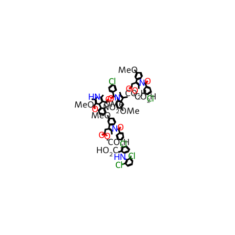 COC(=O)C1=C(C)NC(C)=C(C(=O)OC)C1c1ccccc1[N+](=O)[O-].COc1ccc2c(c1)c(CC(=O)O)c(C)n2C(=O)c1ccc(Cl)cc1.COc1ccc2c(c1)c(CC(=O)OCC(=O)O)c(C)n2C(=O)c1ccc(Cl)cc1.COc1ccc2c(c1)c(CC(=O)OCC(=O)O)c(C)n2C(=O)c1ccc(Cl)cc1.O=C(O)Cc1ccccc1Nc1c(Cl)cccc1Cl